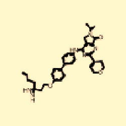 C=CCCC1(CCOc2ccc(-c3ccc(Nc4nc(C5=CCOCC5)nc5c4CN(C(C)C)C5=O)cc3)cc2)NN1